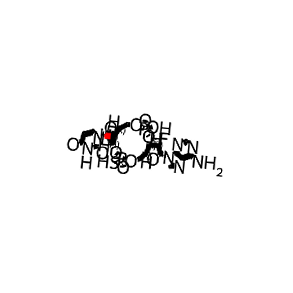 Nc1ncnc2c1ncn2[C@@H]1O[C@@H]2CO[P@@](=O)(S)O[C@@H]3[C@H](F)[C@@H](COP(=O)(O)O[C@H]2[C@H]1F)O[C@H]3n1ccc(=O)[nH]c1=O